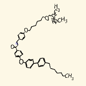 CCCCCCCc1ccc(-c2ccc(Oc3ccc(C(=O)/C=C/c4ccc(OCCCCCCOC[SiH](C)OC)cc4)cc3)cc2)cc1